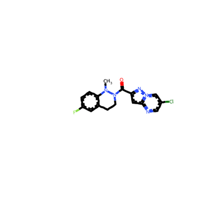 CN1c2ccc(F)cc2CCN1C(=O)c1cc2ncc(Cl)cn2n1